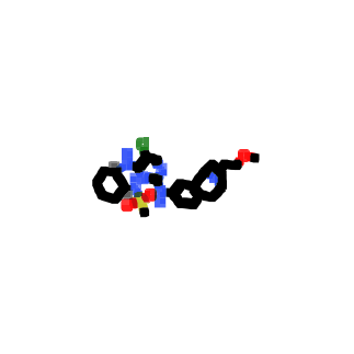 COCCN1C2CCC1c1cc(Nc3ncc(Cl)c(N[C@@H]4CCCC[C@H]4NS(C)(=O)=O)n3)ccc1C2